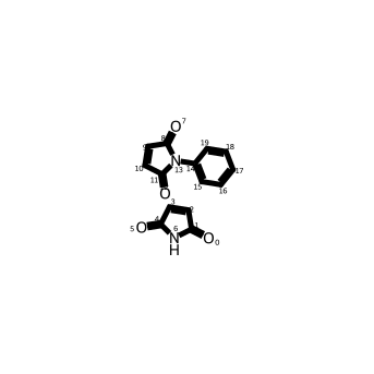 O=C1C=CC(=O)N1.O=C1C=CC(=O)N1c1ccccc1